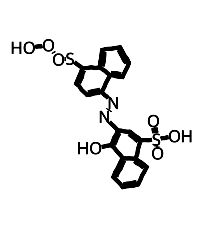 O=S(=O)(O)c1cc(/N=N/c2ccc(SOOO)c3ccccc23)c(O)c2ccccc12